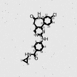 O=C1Cc2cnc(Nc3ccc(C(=O)NC4CC4)cc3)nc2-c2ccc(Cl)cc2N1